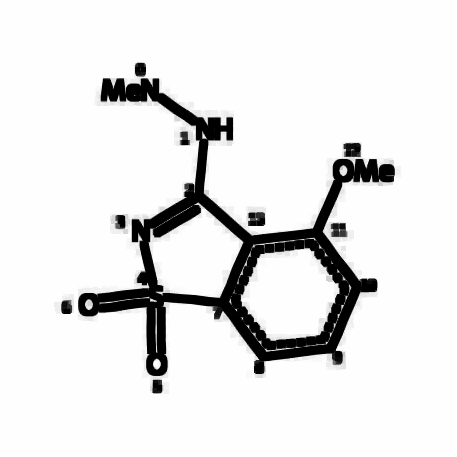 CNNC1=NS(=O)(=O)c2cccc(OC)c21